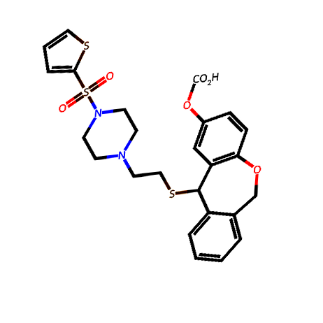 O=C(O)Oc1ccc2c(c1)C(SCCN1CCN(S(=O)(=O)c3cccs3)CC1)c1ccccc1CO2